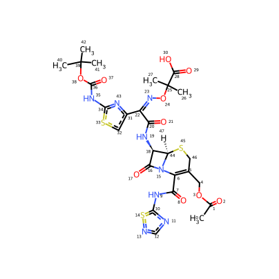 CC(=O)OCC1=C(C(=O)Nc2ncns2)N2C(=O)[C@@H](NC(=O)/C(=N\OC(C)(C)C(=O)O)c3csc(NC(=O)OC(C)(C)C)n3)[C@H]2SC1